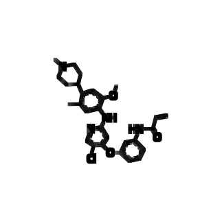 C=CC(=O)Nc1cccc(Oc2cc(Nc3cc(C)c(C4CCN(C)CC4)cc3OC)ncc2Cl)c1